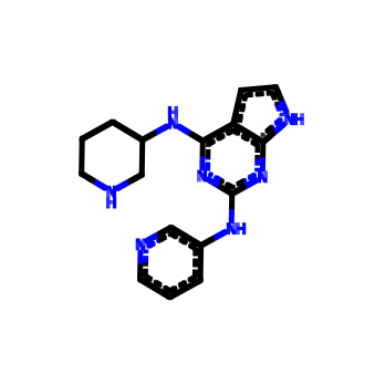 c1cncc(Nc2nc(NC3CCCNC3)c3cc[nH]c3n2)c1